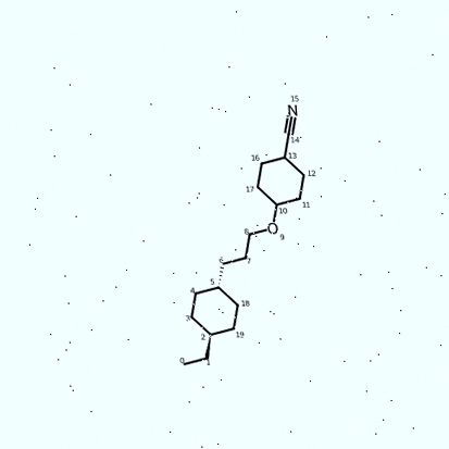 CC[C@H]1CC[C@H](CCCOC2CCC(C#N)CC2)CC1